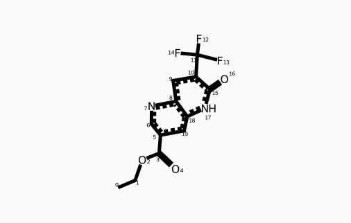 CCOC(=O)c1cnc2cc(C(F)(F)F)c(=O)[nH]c2c1